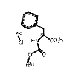 CC(=O)Cl.CC(C)(C)OC(=O)N[C@@H](Cc1ccccc1)C(=O)O